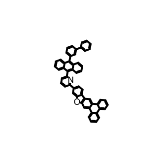 c1ccc(-c2cccc(-c3c4ccccc4c(-c4cccc(-c5ccc6c(c5)oc5cc7c8ccccc8c8ccccc8c7cc56)n4)c4ccccc34)c2)cc1